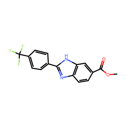 COC(=O)c1ccc2nc(-c3ccc(C(F)(F)F)cc3)[nH]c2c1